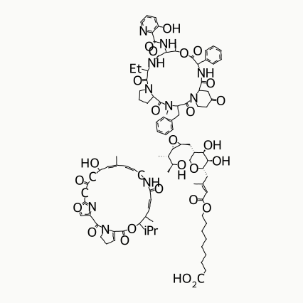 C/C(=C\C(=O)OCCCCCCCCC(=O)O)C[C@@H]1OC[C@H](C[C@@H]2O[C@H]2[C@@H](C)[C@H](C)O)[C@@H](O)[C@H]1O.CC1=CC(O)CC(=O)Cc2nc(co2)C(=O)N2CCC=C2C(=O)OC(C(C)C)C(C)C=CC(=O)NCC=C1.CCC1NC(=O)C(NC(=O)c2ncccc2O)C(C)OC(=O)C(c2ccccc2)NC(=O)C2CC(=O)CCN2C(=O)C(Cc2ccccc2)N(C)C(=O)C2CCCN2C1=O